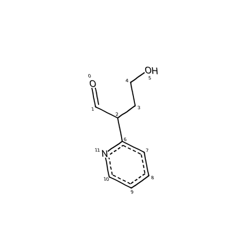 O=CC(CCO)c1ccccn1